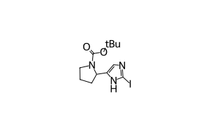 CC(C)(C)OC(=O)N1CCCC1c1cnc(I)[nH]1